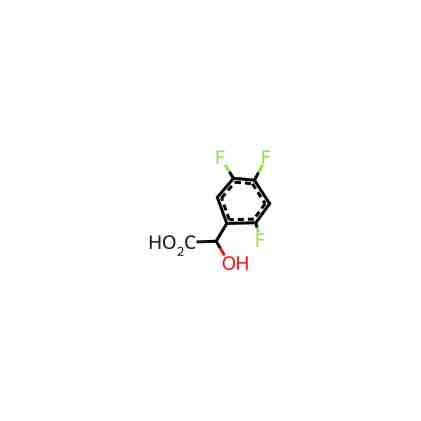 O=C(O)C(O)c1cc(F)c(F)cc1F